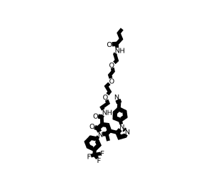 CCCC(=O)NCCOCCOCCOCCNC(=O)c1cc(-c2ccnn2-c2ccc(C#N)cc2)c(C)n(-c2cccc(C(F)(F)F)c2)c1=O